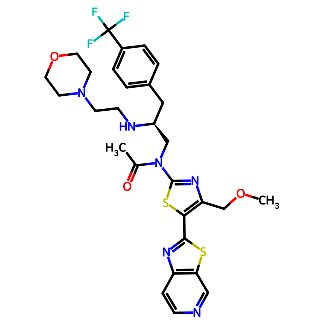 COCc1nc(N(C[C@H](Cc2ccc(C(F)(F)F)cc2)NCCN2CCOCC2)C(C)=O)sc1-c1nc2ccncc2s1